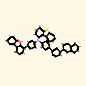 c1cc(-c2ccc(N(c3ccc(-c4cccc5c4oc4ccccc45)cc3)c3cccc4sc5ccccc5c34)cc2)cc(-c2ccc3ccccc3c2)c1